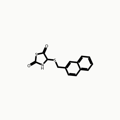 O=C1NC(SCc2ccc3ccccc3c2)C(=O)S1